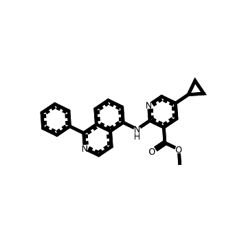 COC(=O)c1cc(C2CC2)cnc1Nc1cccc2c(-c3ccccc3)nccc12